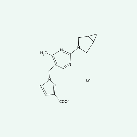 Cc1nc(N2CC3CC3C2)ncc1Cn1cc(C(=O)[O-])cn1.[Li+]